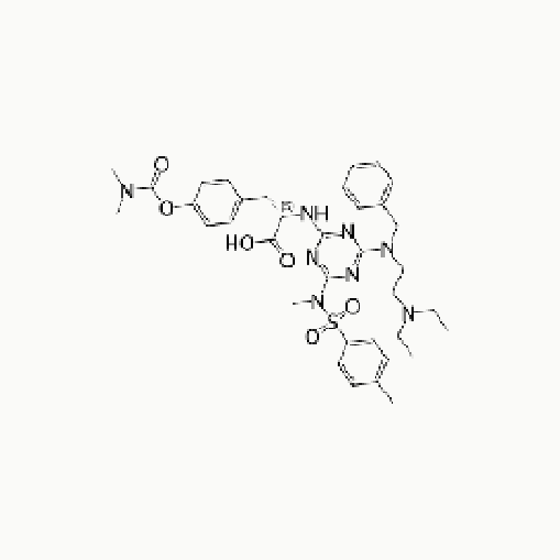 CCN(CC)CCN(Cc1ccccc1)c1nc(N[C@@H](Cc2ccc(OC(=O)N(C)C)cc2)C(=O)O)nc(N(C)S(=O)(=O)c2ccc(C)cc2)n1